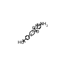 CC(C)(O)c1ccc(N2CCN(S(=O)(=O)c3ccc(N)nn3)CC2)cc1